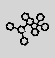 c1ccc(-c2cc(-c3ccccc3)nc(-c3c4c(cc5ccccc35)C(c3ccccc3)(c3ccccc3)c3ccccc3-4)c2)cc1